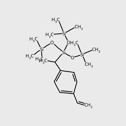 C=Cc1ccc(C(C)[Si](O[Si](C)(C)C)(O[Si](C)(C)C)O[Si](C)(C)C)cc1